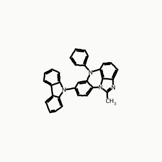 Cc1nc2cccc3c2n1-c1ccc(-n2c4ccccc4c4ccccc42)cc1N3c1ccccc1